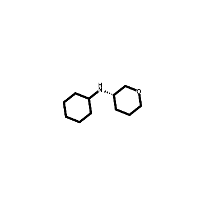 C1CCC(N[C@H]2CCCOC2)CC1